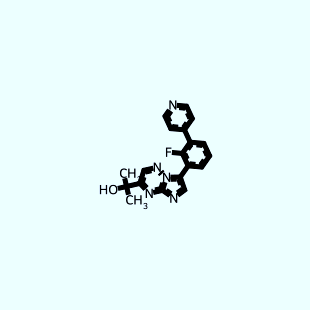 CC(C)(O)c1cnn2c(-c3cccc(-c4ccncc4)c3F)cnc2n1